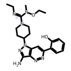 CC/N=C(/N1CCC(n2nc(N)c3nnc(-c4ccccc4O)cc32)CC1)N(C)OCC